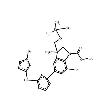 CC(C)n1ccc(Nc2nccc(-c3cc(C#N)c4c(c3)C(C)(CO[Si](C)(C)C(C)(C)C)CN4C(=O)OC(C)(C)C)n2)n1